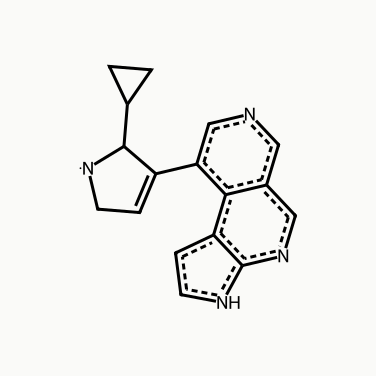 C1=C(c2cncc3cnc4[nH]ccc4c23)C(C2CC2)[N]C1